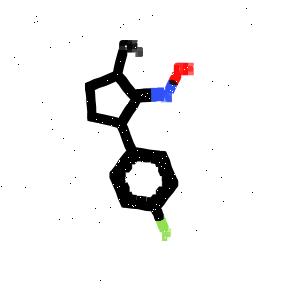 CC1CCC(c2ccc(F)cc2)C1=NO